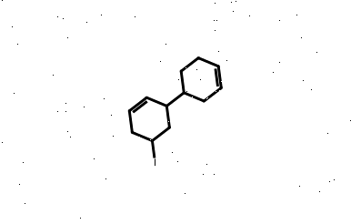 IC1CC=CC(C2CC=CCC2)C1